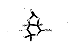 COC1OC(C)(C)[C@H](C)[C@@H]2OC(=O)O[C@H]12